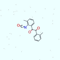 Cc1ccccc1C(=O)C(=O)c1cccc(C)c1N=C=O